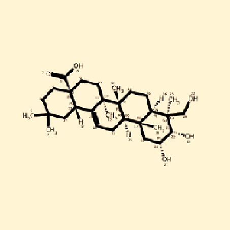 CC1(C)CC[C@]2(C(=O)O)CC[C@]3(C)C(=CC[C@@H]4[C@@]5(C)C[C@@H](O)[C@@H](O)[C@](C)(CO)[C@@H]5CC[C@]43C)[C@@H]2C1